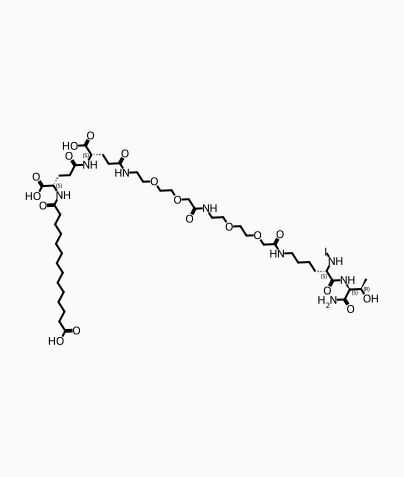 C[C@@H](O)[C@H](NC(=O)[C@H](CCCCNC(=O)COCCOCCNC(=O)COCCOCCNC(=O)CC[C@H](NC(=O)CC[C@H](NC(=O)CCCCCCCCCCCCC(=O)O)C(=O)O)C(=O)O)NI)C(N)=O